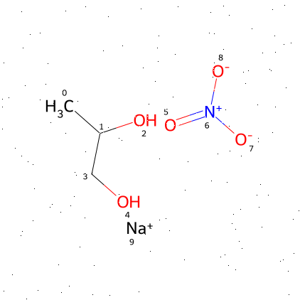 CC(O)CO.O=[N+]([O-])[O-].[Na+]